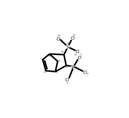 Cl[Si](Cl)(Cl)C1C2C=CC(C2)C1[Si](Cl)(Cl)Cl